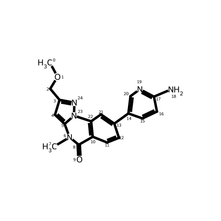 COCc1cc2n(C)c(=O)c3ccc(-c4ccc(N)nc4)cc3n2n1